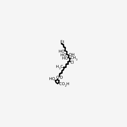 CC/C=C/C=C/C(O)CC(O)C(O)C(O)C(C)/C(Cl)=C/C=C/C=C(C)/C=C/C=C/C(=O)OC1CC(C(=O)O)CCC1O